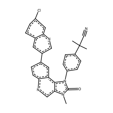 Cn1c(=O)n(-c2ccc(C(C)(C)C#N)cc2)c2c3cc(-c4cnc5cc(Cl)ccc5c4)ccc3ncc21